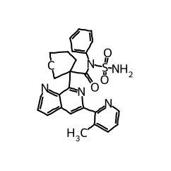 Cc1cccnc1-c1cc2cccnc2c(C2(C(=O)N(c3ccccc3)S(N)(=O)=O)CCCCC2)n1